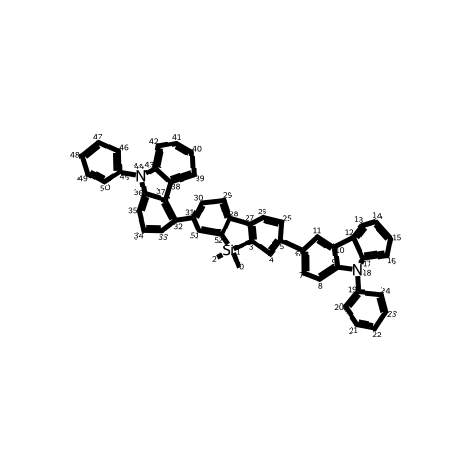 C[Si]1(C)c2cc(-c3ccc4c(c3)c3ccccc3n4-c3ccccc3)ccc2-c2ccc(-c3cccc4c3c3ccccc3n4-c3ccccc3)cc21